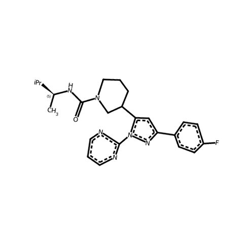 CC(C)[C@H](C)NC(=O)N1CCCC(c2cc(-c3ccc(F)cc3)nn2-c2ncccn2)C1